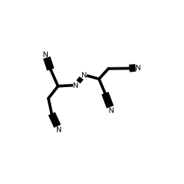 N#CCC(C#N)N=NC(C#N)CC#N